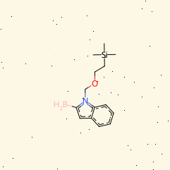 Bc1cc2ccccc2n1COCC[Si](C)(C)C